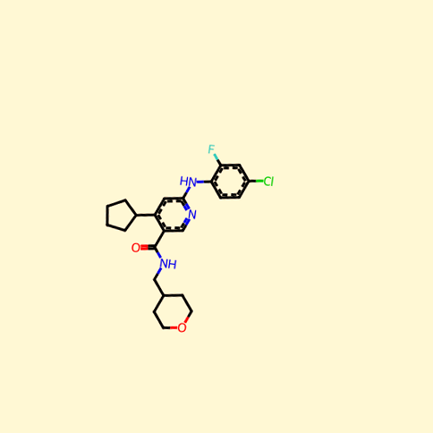 O=C(NCC1CCOCC1)c1cnc(Nc2ccc(Cl)cc2F)cc1C1CCCC1